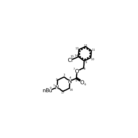 [CH2]CCCN1CCN(C(=O)OCc2ccccc2Cl)CC1